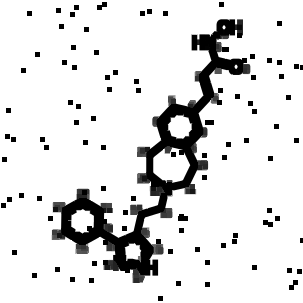 O=C(/C=C/c1ccc2c(c1)CCN(CCc1c[nH]nc1-c1ccccc1)CC2)NO